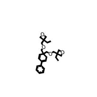 CCC1(COCC2(COCC3(CC)COC3)C=CC(c3ccccc3)=CC2)COC1